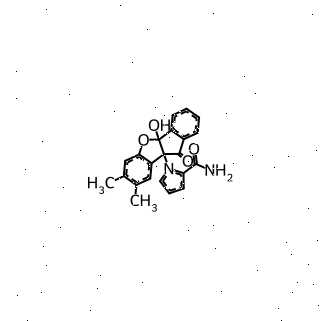 Cc1cc2c(cc1C)C1(n3cccc3C(N)=O)C(=O)c3ccccc3C1(O)O2